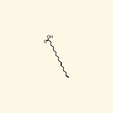 C=CCCCC=CCCCCCCCCC(=O)O